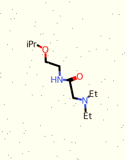 CCN(CC)CC(=O)NCCOC(C)C